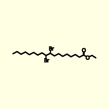 CCCCCCCCC(Br)C(Br)CCCCCCCC(=O)OCC